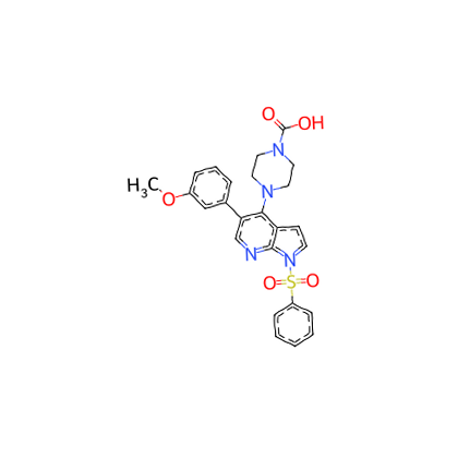 COc1cccc(-c2cnc3c(ccn3S(=O)(=O)c3ccccc3)c2N2CCN(C(=O)O)CC2)c1